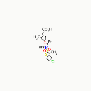 CCCN(CC(CC)Oc1ccc(CCC(=O)O)c(C)c1)S(=O)(=O)c1sc2ccc(Cl)cc2c1C